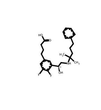 CC(C)(CCCc1ccccc1)NC[C@@H](O)c1cc(CCCC(=O)O)cc(F)c1F